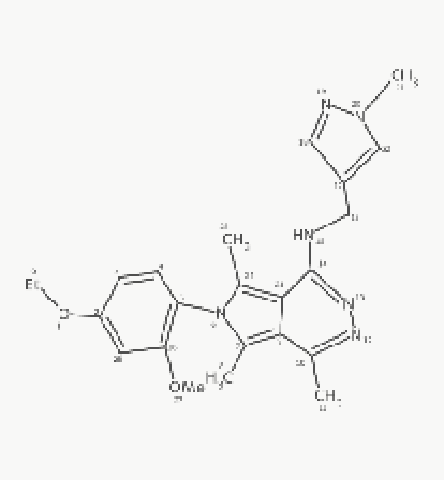 CCOc1ccc(-n2c(C)c3c(C)nnc(NCc4cnn(C)c4)c3c2C)c(OC)c1